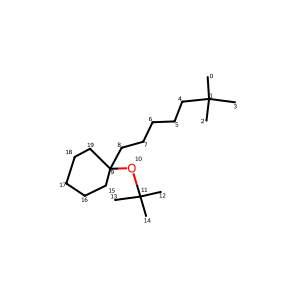 CC(C)(C)CCCCCC1(OC(C)(C)C)CCCCC1